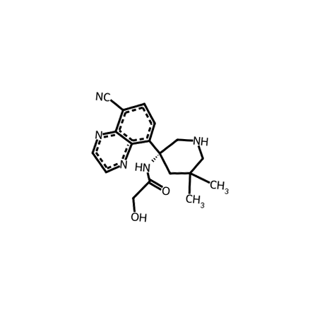 CC1(C)CNC[C@](NC(=O)CO)(c2ccc(C#N)c3nccnc23)C1